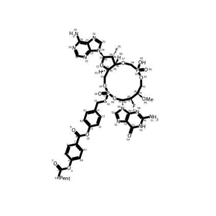 CCCCCC(=O)Oc1ccc(C(=O)Oc2ccc(CSP3(=O)OC[C@H]4O[C@@H](n5cnc6c(N)ncnc65)[C@H](F)[C@@H]4OCP(=O)(O)OC[C@@H](OC)[C@@H](F)[C@H](n4cnc5c(=O)[nH]c(N)nc54)O3)cc2)cc1